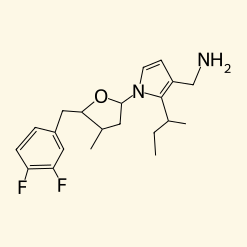 CCC(C)c1c(CN)ccn1C1CC(C)C(Cc2ccc(F)c(F)c2)O1